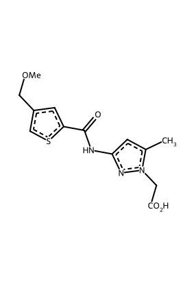 COCc1csc(C(=O)Nc2cc(C)n(CC(=O)O)n2)c1